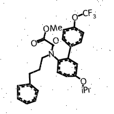 COC(=O)C(=O)N(CCCc1ccccc1)c1ccc(OC(C)C)cc1-c1ccc(OC(F)(F)F)cc1